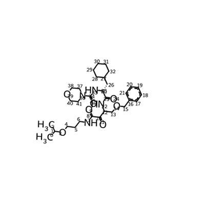 CC(C)OCCCNC(=O)C(=O)C(COCc1ccccc1)NC(=O)[C@@H](CC1CCCCC1)NC(=O)N1CCOCC1